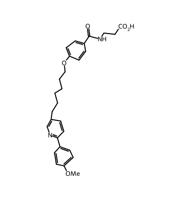 COc1ccc(-c2ccc(CCCCCCOc3ccc(C(=O)NCCC(=O)O)cc3)cn2)cc1